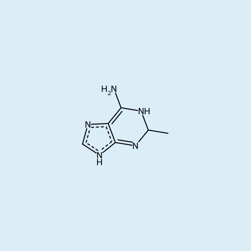 CC1N=c2[nH]cnc2=C(N)N1